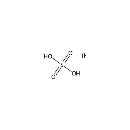 O=S(=O)(O)O.[Tl]